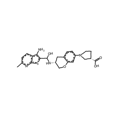 Cc1ccc2c(N)c(C(O)N[C@H]3COc4cc(N5CC[C@H](C(=O)O)C5)ccc4C3)sc2n1